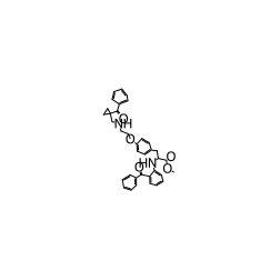 COC(=O)C(Cc1ccc(OCCNCC2(C(=O)c3ccccc3)CC2)cc1)Nc1ccccc1C(=O)c1ccccc1